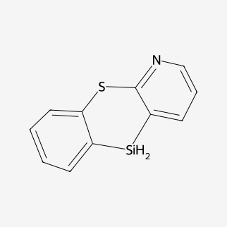 c1ccc2c(c1)[SiH2]c1cccnc1S2